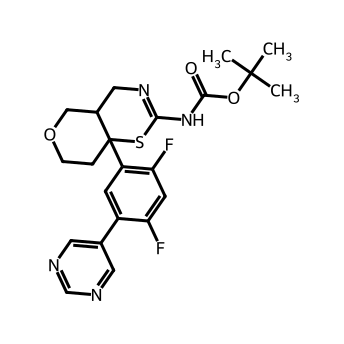 CC(C)(C)OC(=O)NC1=NCC2COCCC2(c2cc(-c3cncnc3)c(F)cc2F)S1